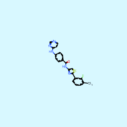 O=C(Nc1csc(-c2cccc(C(F)(F)F)c2F)n1)c1ccc(Nc2ccncn2)cc1